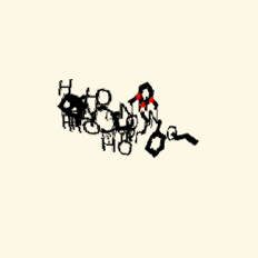 C=CCOc1ccccc1CN(Cc1cccc(CN2O[C@@H](CO)[C@@H]([C@H](C)O)[C@H]2C(=O)N[C@H]2C[C@H]3C[C@@H]([C@@H]2C)C3(C)C)c1)[C@@H](CC(C)C)CN(C)C